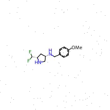 COc1ccc(CN[C@@H]2CN[C@H](C(F)F)C2)cc1